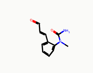 CN(C(N)=O)c1ccccc1/C=C/[C]=O